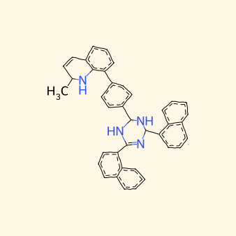 CC1C=Cc2cccc(-c3ccc(C4NC(c5cccc6ccccc56)=NC(c5cccc6ccccc56)N4)cc3)c2N1